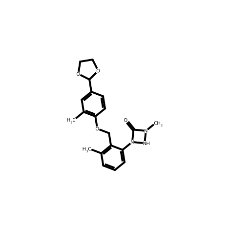 Cc1cc(C2OCCO2)ccc1OCc1c(C)cccc1-n1[nH]n(C)c1=O